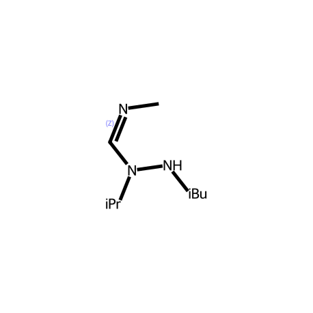 CCC(C)NN(/C=N\C)C(C)C